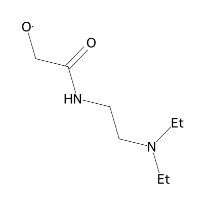 CCN(CC)CCNC(=O)C[O]